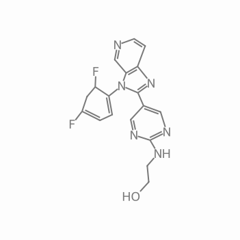 OCCNc1ncc(-c2nc3ccncc3n2C2=CC=C(F)CC2F)cn1